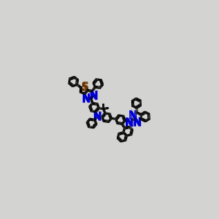 CC1(C)c2cc(-c3ccc4c(c3)c3c5ccccc5ccc3n4-c3nc(-c4ccccc4)c4ccccc4n3)ccc2N(c2ccccc2)c2ccc(-c3nc(-c4ccccc4)c4sc(-c5ccccc5)cc4n3)cc21